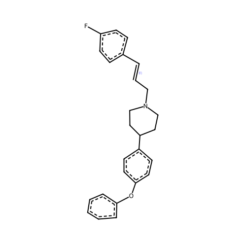 Fc1ccc(/C=C/CN2CCC(c3ccc(Oc4ccccc4)cc3)CC2)cc1